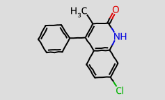 Cc1c(-c2ccccc2)c2ccc(Cl)cc2[nH]c1=O